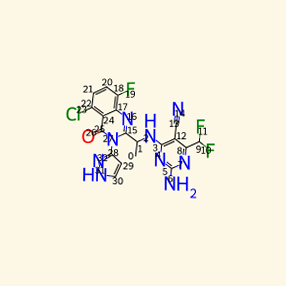 CC(Nc1nc(N)nc(C(F)F)c1C#N)c1nc2c(F)ccc(Cl)c2c(=O)n1-c1cc[nH]n1